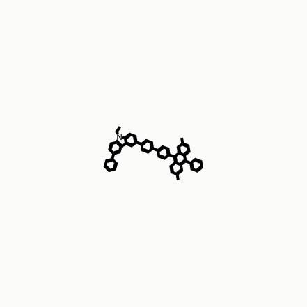 CCn1c2ccc(-c3ccccc3)cc2c2cc(-c3ccc(-c4ccc(-c5c6ccc(C)cc6c(-c6ccccc6)c6ccc(C)cc56)cc4)cc3)ccc21